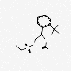 CCS(=O)(=O)NCC(NC(=O)O)c1ccccc1C(F)(F)F